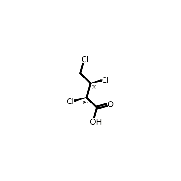 O=C(O)[C@@H](Cl)[C@H](Cl)CCl